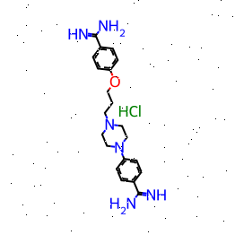 Cl.N=C(N)c1ccc(OCCCN2CCN(c3ccc(C(=N)N)cc3)CC2)cc1